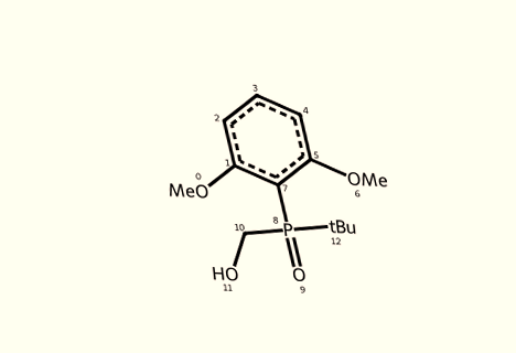 COc1cccc(OC)c1P(=O)(CO)C(C)(C)C